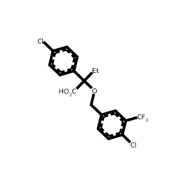 CCC(OCc1ccc(Cl)c(C(F)(F)F)c1)(C(=O)O)c1ccc(Cl)cc1